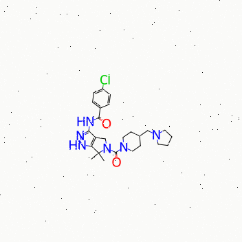 CC1(C)c2[nH]nc(NC(=O)c3ccc(Cl)cc3)c2CN1C(=O)N1CCC(CN2CCCC2)CC1